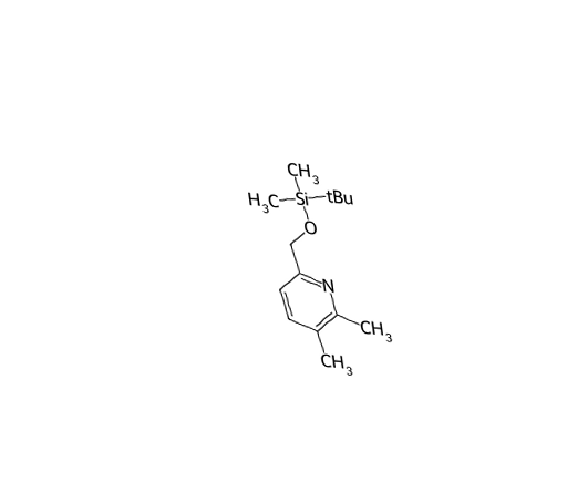 Cc1ccc(CO[Si](C)(C)C(C)(C)C)nc1C